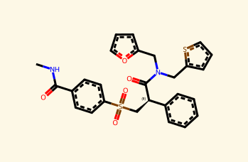 CNC(=O)c1ccc(S(=O)(=O)C[C@@H](C(=O)N(Cc2ccco2)Cc2cccs2)c2ccccc2)cc1